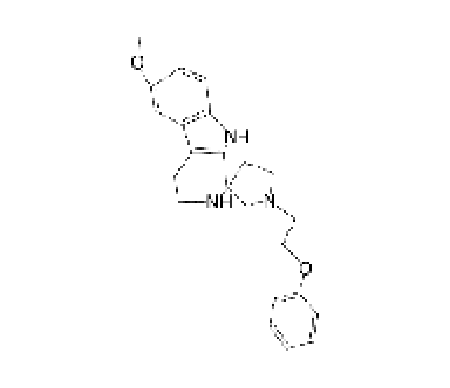 COc1ccc2[nH]c3c(c2c1)CCNC31CCN(CCOc2ccccc2)C1